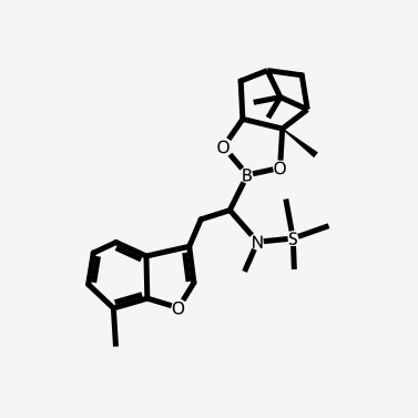 Cc1cccc2c(CC(B3OC4CC5CC(C5(C)C)[C@]4(C)O3)N(C)S(C)(C)C)coc12